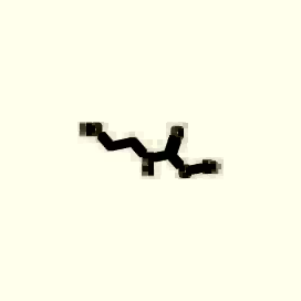 C[CH]OC(=O)NCCO